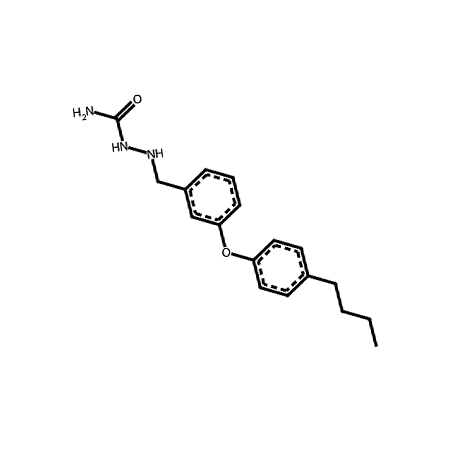 CCCCc1ccc(Oc2cccc(CNNC(N)=O)c2)cc1